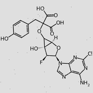 Nc1nc(Cl)nc2c1ncn2[C@@H]1O[C@@H]2C(OC(Cc3ccc(O)cc3)(C(=O)O)C(=O)O)[C@]2(O)[C@@H]1F